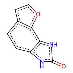 O=c1[nH]c2ccc3ccoc3c2[nH]1